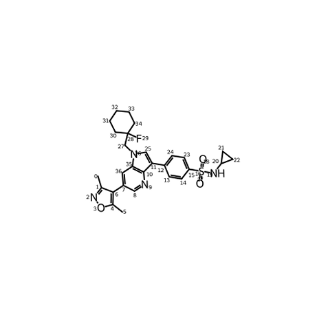 Cc1noc(C)c1-c1cnc2c(-c3ccc(S(=O)(=O)NC4CC4)cc3)cn(CC3(F)CCCCC3)c2c1